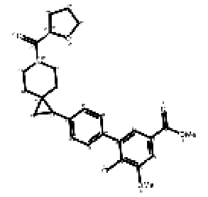 COC(=O)c1cc(OC)c(Cl)c(-c2ccc(C3CC34CCN(C(=O)[C@H]3CCCO3)CC4)cc2)c1